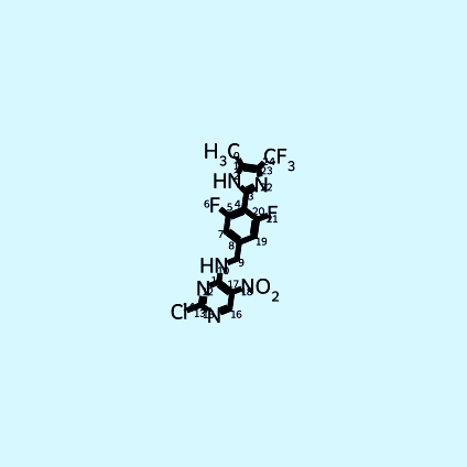 Cc1[nH]c(-c2c(F)cc(CNc3nc(Cl)ncc3[N+](=O)[O-])cc2F)nc1C(F)(F)F